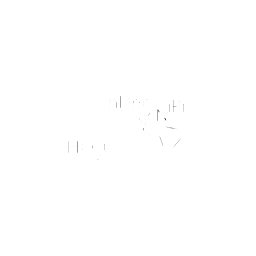 CCCCCCCCCCC(=S)N(c1ccccc1SCCCC(=O)O)C(C)C